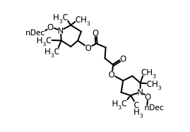 CCCCCCCCCCON1C(C)(C)CC(OC(=O)CCC(=O)OC2CC(C)(C)N(OCCCCCCCCCC)C(C)(C)C2)CC1(C)C